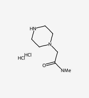 CNC(=O)CN1CCNCC1.Cl.Cl